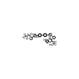 COC(=O)N[C@@H](C)C(=O)N1CCCC1c1ncc(-c2ccc(-c3ccc(-c4cnc([C@@H]5CCCN5C(=O)[C@H](Cc5c[nH]nn5)NC(=O)O)[nH]4)cc3)cc2)[nH]1